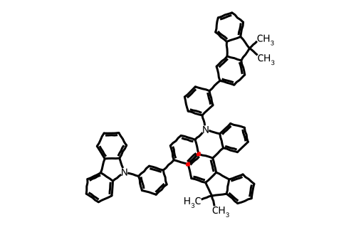 CC1(C)c2ccccc2-c2cc(-c3cccc(N(c4ccc(-c5cccc(-n6c7ccccc7c7ccccc76)c5)cc4)c4ccccc4-c4cccc5c4-c4ccccc4C5(C)C)c3)ccc21